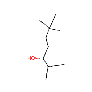 CC(C)[C@H](O)CCC(C)(C)C